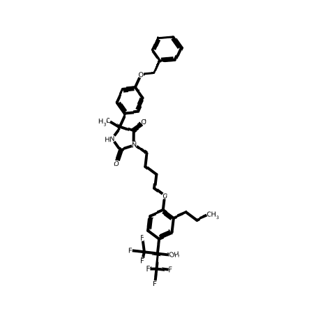 CCCc1cc(C(O)(C(F)(F)F)C(F)(F)F)ccc1OCCCCN1C(=O)NC(C)(c2ccc(OCc3ccccc3)cc2)C1=O